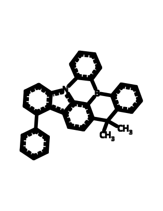 CC1(C)c2ccccc2B2c3ccccc3-n3c4cccc(-c5ccccc5)c4c4ccc1c2c43